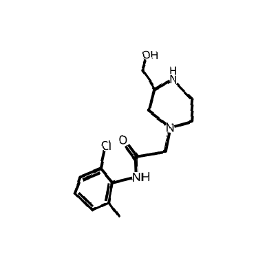 Cc1cccc(Cl)c1NC(=O)CN1CCNC(CO)C1